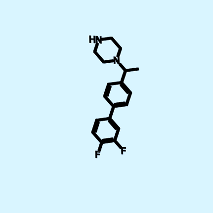 CC(c1ccc(-c2ccc(F)c(F)c2)cc1)N1CCNCC1